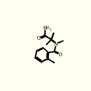 Cc1[c]cccc1C(=O)N(C)C(C)(C)C(N)=O